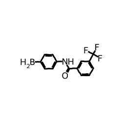 Bc1ccc(NC(=O)c2cccc(C(F)(F)F)c2)cc1